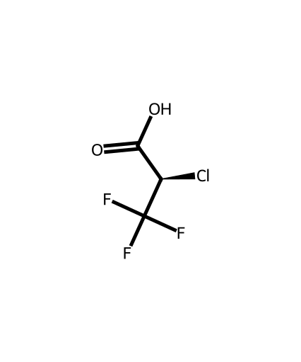 O=C(O)[C@@H](Cl)C(F)(F)F